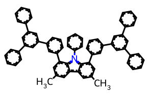 Cc1cc(-c2cccc(-c3cc(-c4ccccc4)cc(-c4ccccc4)c3)c2)c2c(c1)c1cc(C)cc(-c3cccc(-c4cc(-c5ccccc5)cc(-c5ccccc5)c4)c3)c1n2-c1ccccc1